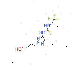 OCCCCn1ncc(NC(=S)NCC(F)(F)F)n1